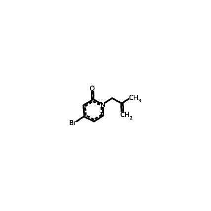 C=C(C)Cn1ccc(Br)cc1=O